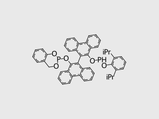 CC(C)c1cccc(C(C)C)c1OPOc1c(-c2c(OP3OCc4ccccc4O3)c3ccccc3c3ccccc23)c2ccccc2c2ccccc12